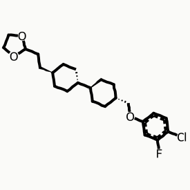 Fc1cc(OC[C@H]2CC[C@H]([C@H]3CC[C@H](CCC4OCCO4)CC3)CC2)ccc1Cl